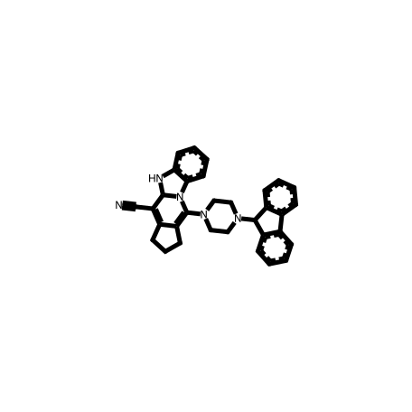 N#CC1=C2CCCC2=C(N2CCN(C3c4ccccc4-c4ccccc43)CC2)N2c3ccccc3NC12